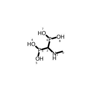 CNC(P(O)O)P(O)O